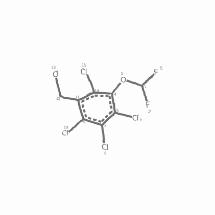 FC(F)Oc1c(Cl)c(Cl)c(Cl)c(CCl)c1Cl